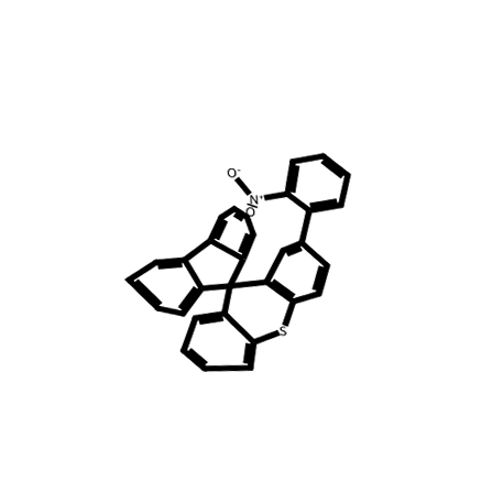 O=[N+]([O-])c1ccccc1-c1ccc2c(c1)C1(c3ccccc3S2)c2ccccc2-c2ccccc21